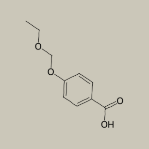 CCOCOc1ccc(C(=O)O)cc1